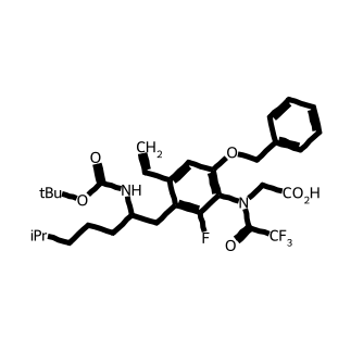 C=Cc1cc(OCc2ccccc2)c(N(CC(=O)O)C(=O)C(F)(F)F)c(F)c1CC(CCCC(C)C)NC(=O)OC(C)(C)C